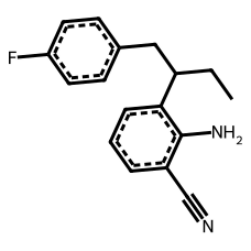 CCC(Cc1ccc(F)cc1)c1cccc(C#N)c1N